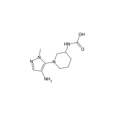 Cn1ncc(N)c1N1CCCC(NC(=O)O)C1